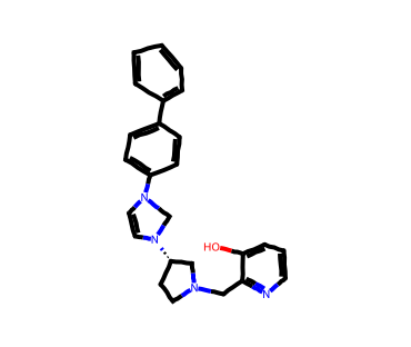 Oc1cccnc1CN1CC[C@H](N2C=CN(c3ccc(-c4ccccc4)cc3)C2)C1